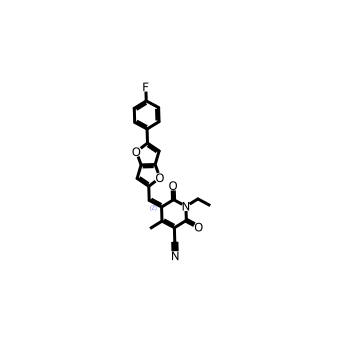 CCN1C(=O)C(C#N)=C(C)/C(=C/c2cc3oc(-c4ccc(F)cc4)cc3o2)C1=O